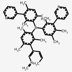 C=N/C=C(\C=C/C)c1c(C)cc(C)c(B(c2cc(C)c(C)c(-c3cccnc3)c2C)c2c(C)cc(C)c(-c3cccnc3)c2C)c1C